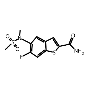 CN(c1cc2cc(C(N)=O)sc2cc1F)S(C)(=O)=O